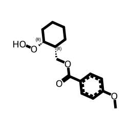 COc1ccc(C(=O)OC[C@H]2CCCC[C@H]2OO)cc1